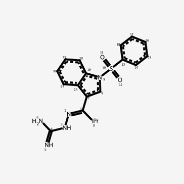 CC(C)C(=NNC(=N)N)c1cn(S(=O)(=O)c2ccccc2)c2ccccc12